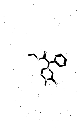 CCOC(=O)C(c1ccccc1)N1CCN(C)C(=O)C1